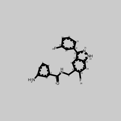 Nc1cccc(C(=O)NCc2cc3c(-c4cccc(F)c4)n[nH]c3cc2F)c1